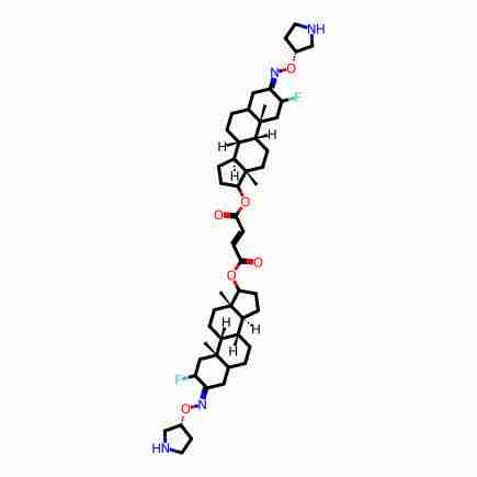 C[C@]12CC(F)/C(=N\O[C@@H]3CCNC3)CC1CC[C@@H]1[C@H]2CC[C@]2(C)C(OC(=O)/C=C/C(=O)OC3CC[C@H]4[C@@H]5CCC6C/C(=N/O[C@@H]7CCNC7)C(F)C[C@]6(C)[C@@H]5CC[C@]34C)CC[C@@H]12